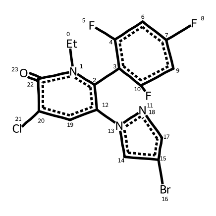 CCn1c(-c2c(F)cc(F)cc2F)c(-n2cc(Br)cn2)cc(Cl)c1=O